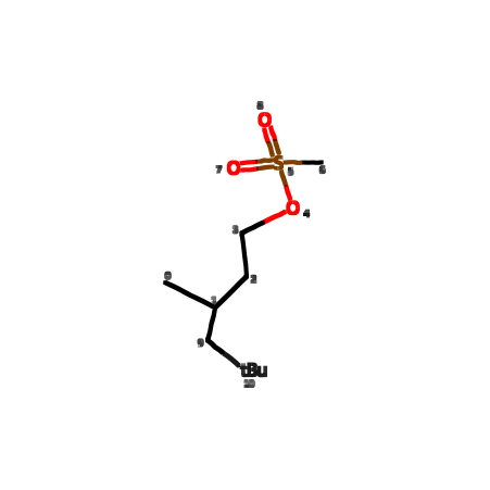 CC(CCOS(C)(=O)=O)CC(C)(C)C